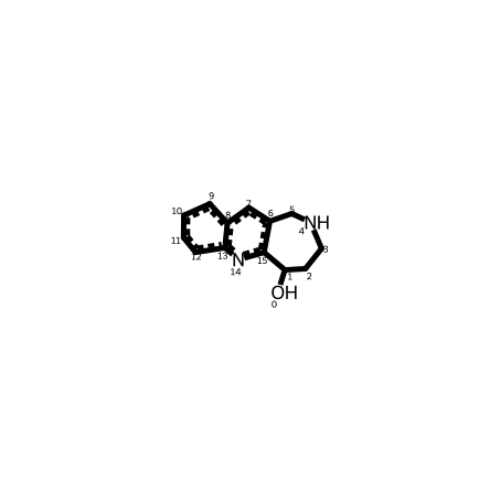 OC1CCNCc2cc3ccccc3nc21